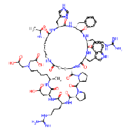 CC(=O)N[C@H]1CCCNC(=O)CC[C@@H](C(=O)N2CCC[C@H]2C(=O)N2CCC[C@H]2C(=O)N[C@@H](CCCNC(=N)N)C(=O)N[C@@H](CC(=O)O)C(=O)N[C@H](C)CCCCN(CC(=O)O)CC(=O)O)NC(=O)[C@H](Cc2c[nH]c3ccccc23)NC(=O)[C@H](CCCNC(=N)N)NC(=O)[C@@H](Cc2ccccc2)NC(=O)[C@H](Cc2c[nH]cn2)NC1=O